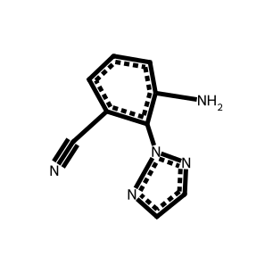 N#Cc1cccc(N)c1-n1nccn1